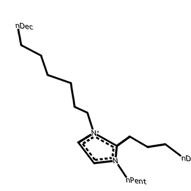 CCCCCCCCCCCCCCCC[n+]1ccn(CCCCC)c1CCCCCCCCCCCCC